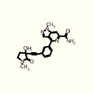 CN1CCC(O)(C#Cc2cccc(-c3nc(C(N)=O)cc4c3cnn4C)c2)C1=O